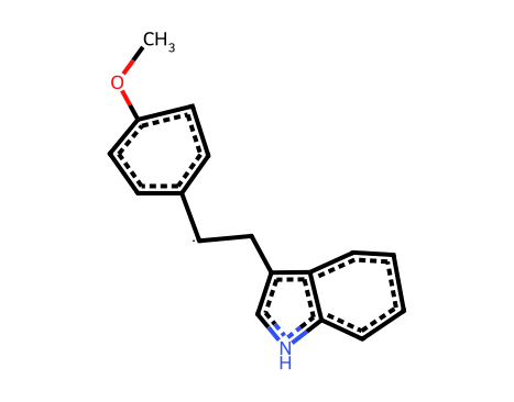 COc1ccc([CH]Cc2c[nH]c3ccccc23)cc1